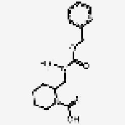 CN(CC1CCCCN1C(=O)O)C(=O)OCc1ccccc1